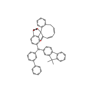 C=C1/C=C\C=C/Cc2ccccc2C12c1ccccc1-c1ccc(N(c3cccc(-c4ccccc4)c3)c3ccc4c(c3)C(C)(C)c3ccccc3-4)cc12